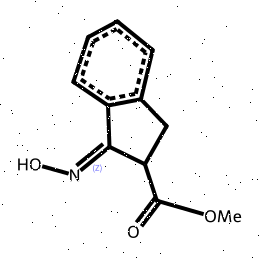 COC(=O)C1Cc2ccccc2/C1=N\O